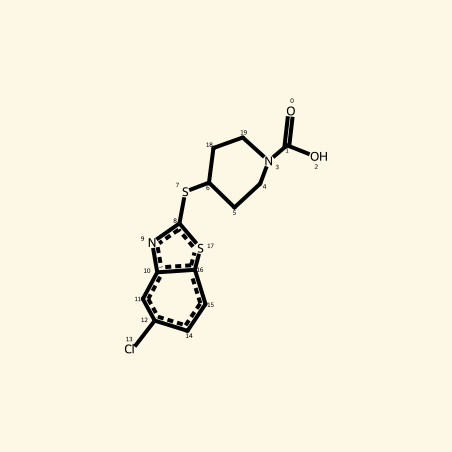 O=C(O)N1CCC(Sc2nc3cc(Cl)ccc3s2)CC1